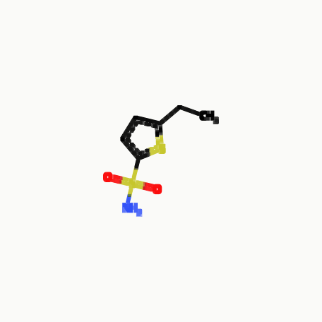 CCc1ccc(S(N)(=O)=O)s1